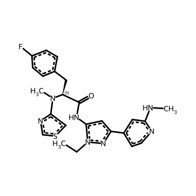 CCn1nc(-c2ccnc(NC)c2)cc1NC(=O)[C@H](Cc1ccc(F)cc1)N(C)c1cscn1